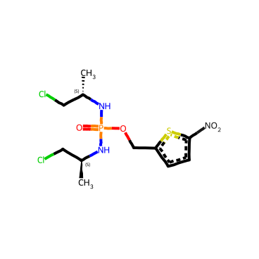 C[C@@H](CCl)NP(=O)(N[C@@H](C)CCl)OCc1ccc([N+](=O)[O-])s1